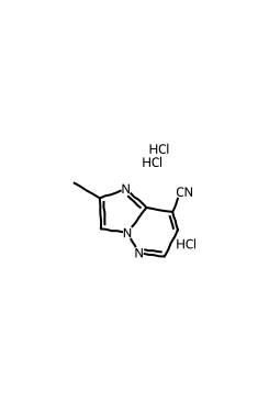 Cc1cn2nccc(C#N)c2n1.Cl.Cl.Cl